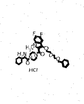 Cl.Cn1c(C(=O)N2CCN(C(=O)[C@@H](N)C3CCCCC3)CC2)c(OCCOCCOCc2ccccc2)c2cc(F)c(F)cc21